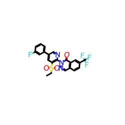 CCS(=O)(=O)c1cc(-c2cccc(F)c2)cnc1-n1ncc2ccc(C(F)(F)F)cc2c1=O